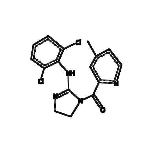 Cc1ccnc(C(=O)N2CCN=C2Nc2c(Cl)cccc2Cl)c1